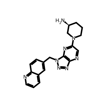 N[C@H]1CCCN(c2cnc3nnn(Cc4ccc5ncccc5c4)c3n2)C1